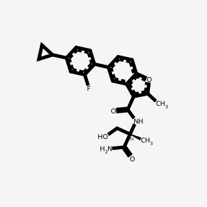 Cc1oc2ccc(-c3ccc(C4CC4)cc3F)cc2c1C(=O)N[C@@](C)(CO)C(N)=O